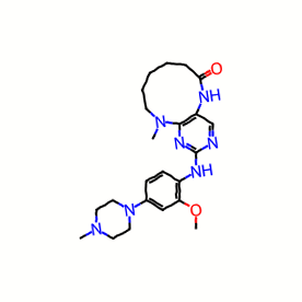 COc1cc(N2CCN(C)CC2)ccc1Nc1ncc2c(n1)N(C)CCCCCC(=O)N2